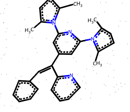 Cc1ccc(C)n1-c1cc(C(=Cc2ccccc2)c2ccccn2)cc(-n2c(C)ccc2C)n1